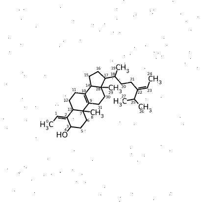 C/C=C1\C(O)CCC2(C)C3=C(CCC12)C1CCC(C(C)CC/C(=C\C)C(C)C)C1(C)CC3